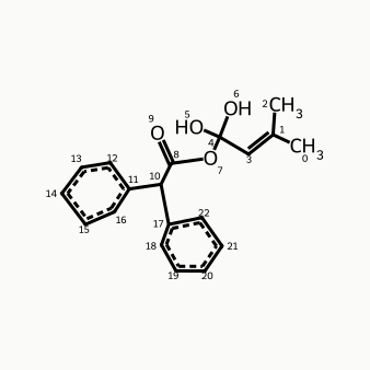 CC(C)=CC(O)(O)OC(=O)C(c1ccccc1)c1ccccc1